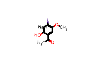 COc1cc(C(C)=O)c(O)cc1I.[NaH]